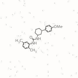 COc1ccc(C2CCCC(NC(=O)Nc3cc(C)ccc3C)C2)cc1